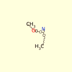 CCCCCCCCC1CCC(C(CC#N)C2CCC(c3ccc(OCCCCCCC)cc3)CC2)CC1